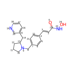 O=C(C=Cc1ccc(CN2CCCC2Cc2cccnc2)cc1)NO